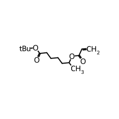 C=CC(=O)OC(C)CCCCC(=O)OC(C)(C)C